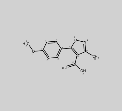 COc1ccc(-c2onc(C)c2C(=O)O)cc1